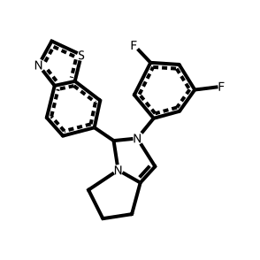 Fc1cc(F)cc(N2C=C3CCCN3C2c2ccc3ncsc3c2)c1